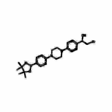 CC(C)CC(O)c1ccc(N2CCN(c3ccc(B4OC(C)(C)C(C)(C)O4)cc3)CC2)cc1